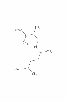 CCCCCC(C)CCC(C)NCC(C)N(C)C(C)CCC